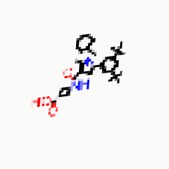 Cc1c(C(=O)N[C@H]2C[C@H](C(=O)O)C2)cc(-c2cc(C(C)(C)C)cc(C(C)(C)C)c2)n1CC1CCCCC1